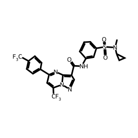 CN(C1CC1)S(=O)(=O)c1cccc(NC(=O)c2cnn3c(C(F)(F)F)cc(-c4ccc(C(F)(F)F)cc4)nc23)c1